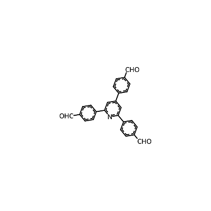 O=Cc1ccc(-c2cc(-c3ccc(C=O)cc3)nc(-c3ccc(C=O)cc3)c2)cc1